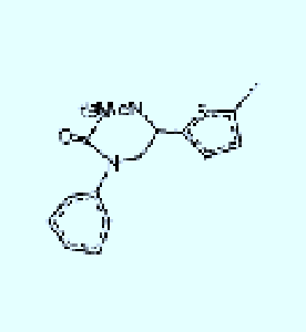 CNC(CN(C(=O)C(C)(C)C)c1ccccc1)c1ccc(C)s1